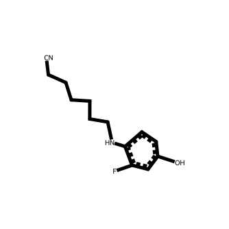 N#CCCCCCCNc1ccc(O)cc1F